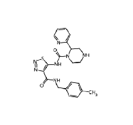 Cc1ccc(CNC(=O)c2nnsc2NC(=O)N2CCNCC2c2ccccn2)cc1